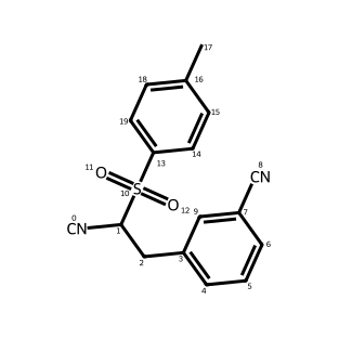 [C-]#[N+]C(Cc1cccc(C#N)c1)S(=O)(=O)c1ccc(C)cc1